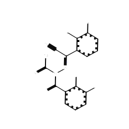 N#C/C(=N\N(C(=N)N)C(=O)c1cccc(Cl)c1Cl)c1cccc(Cl)c1Cl